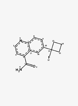 NC(=O)c1ccnc2ccc(C3(F)CCC3)cc12